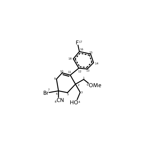 COCC1(CO)CC(Br)(C#N)CC=C1c1cccc(F)c1